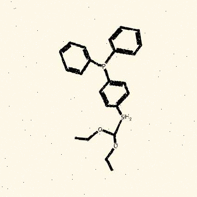 CCOC(OCC)[SiH2]c1ccc(P(c2ccccc2)c2ccccc2)cc1